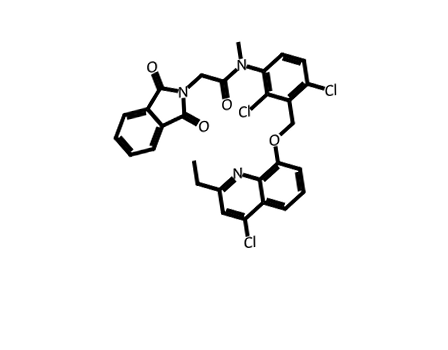 CCc1cc(Cl)c2cccc(OCc3c(Cl)ccc(N(C)C(=O)CN4C(=O)c5ccccc5C4=O)c3Cl)c2n1